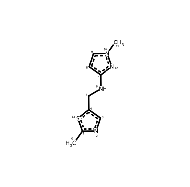 Cc1ncc(CNc2ccn(C)n2)s1